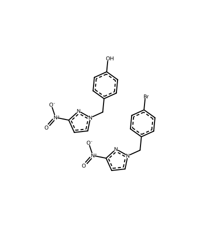 O=[N+]([O-])c1ccn(Cc2ccc(Br)cc2)n1.O=[N+]([O-])c1ccn(Cc2ccc(O)cc2)n1